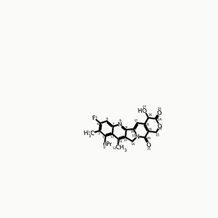 CCCc1c(C)c(F)cc2nc3c(c(C)c12)Cn1c-3cc2c(c1=O)COC(=O)C2O